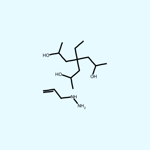 C=CCNN.CCC(CC(C)O)(CC(C)O)CC(C)O